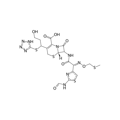 CSCON=C(C(=O)NC1C(=O)N2C(C(=O)O)=C(C(CCO)Sc3nnn[nH]3)CS[C@@H]12)c1csc(NC=O)n1